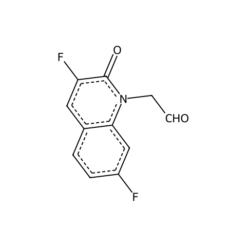 O=CCn1c(=O)c(F)cc2ccc(F)cc21